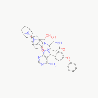 Nc1ncnc2c1c(-c1ccc(Oc3ccccc3)cc1)nn2C1CCN(C2CC3CCC(C2)N3c2ccc3c(c2)C(O)N(C2CCC(=O)NC2O)C3=O)CC1